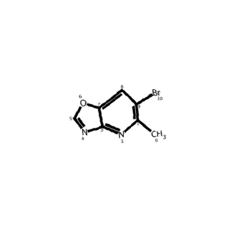 Cc1nc2ncoc2cc1Br